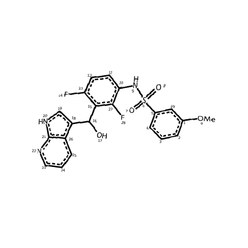 COc1cccc(S(=O)(=O)Nc2ccc(F)c(C(O)c3c[nH]c4ncccc34)c2F)c1